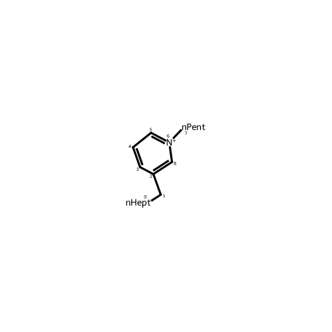 CCCCCCCCc1ccc[n+](CCCCC)c1